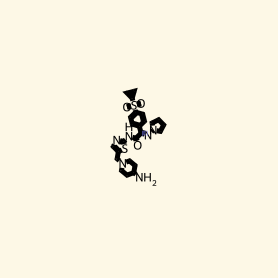 NC1CCN(Cc2cnc(NC(=O)/C(=N/N3CCCC3)c3ccc(S(=O)(=O)C4CC4)cc3)s2)CC1